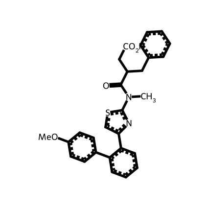 COc1ccc(-c2ccccc2-c2csc(N(C)C(=O)C(CC(=O)O)Cc3ccccc3)n2)cc1